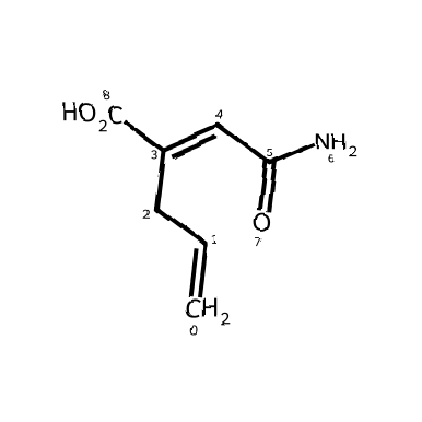 C=CCC(=CC(N)=O)C(=O)O